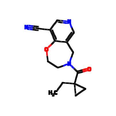 CCC1(C(=O)N2CCOc3c(C#N)cncc3C2)CC1